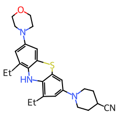 CCc1cc(N2CCOCC2)cc2c1Nc1c(CC)cc(N3CCC(C#N)CC3)cc1S2